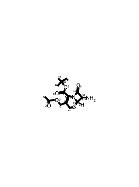 CC(=O)OCC1=C(C(=O)OC(C)(C)C)N2C(=O)[C@@H](N)[C@@H]2SC1